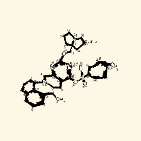 CCc1cccc2cccc(N3CCc4c(nc(OC[C@@]56CCCN5C[C@H](F)C6)nc4OS(=O)(=O)c4ccc(C)cc4)C3)c12